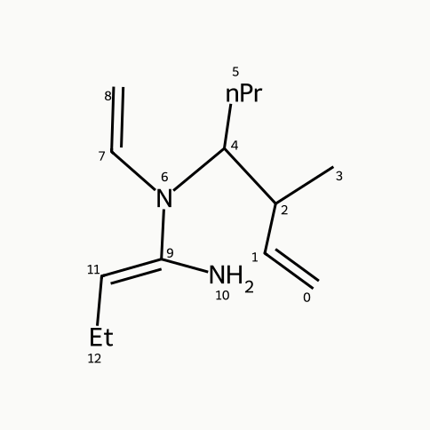 C=CC(C)C(CCC)N(C=C)/C(N)=C/CC